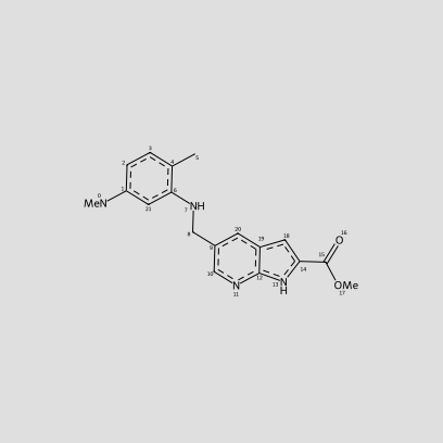 CNc1ccc(C)c(NCc2cnc3[nH]c(C(=O)OC)cc3c2)c1